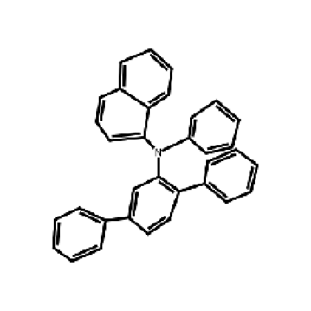 c1ccc(-c2ccc(-c3ccccc3)c(N(c3ccccc3)c3cccc4ccccc34)c2)cc1